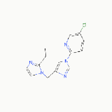 CCc1nccn1Cc1cn(-c2ccc(Cl)cn2)cn1